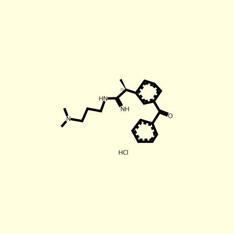 C[C@H](C(=N)NCCCN(C)C)c1cccc(C(=O)c2ccccc2)c1.Cl